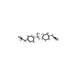 N#CC[C@H]1CC[C@H](CC(F)[C@H]2CC[C@H](CC#N)CC2)CC1